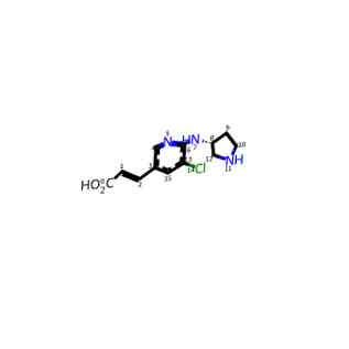 O=C(O)C=Cc1cnc(N[C@@H]2CCNC2)c(Cl)c1